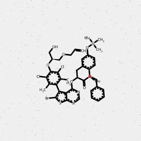 C=CCOC[C@H](CO)Oc1c(Cl)c(C)c(-c2c(Br)sc3ncnc(OC(Cc4cc(O[Si](C)(C)C(C)(C)C)ccc4OCc4ccccc4)C(=O)OC(C)(C)C)c23)c(C)c1Cl